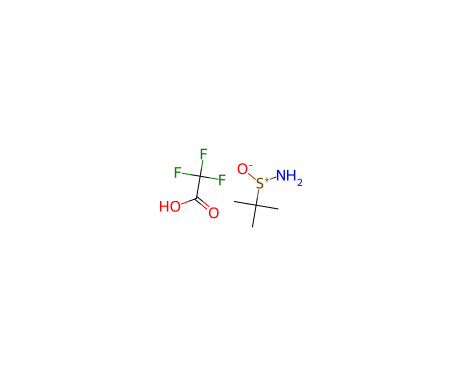 CC(C)(C)[S+](N)[O-].O=C(O)C(F)(F)F